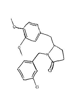 COc1ccc(CC2CCC(=O)N2Cc2cccc(Cl)c2)cc1OC